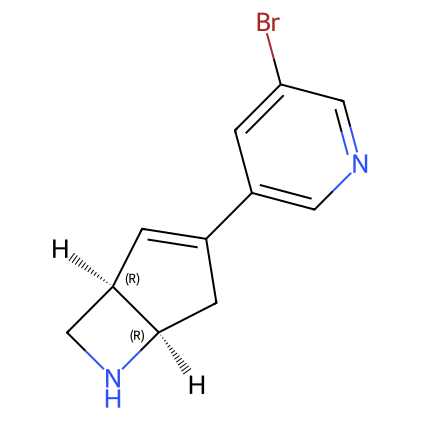 Brc1cncc(C2=C[C@@H]3CN[C@@H]3C2)c1